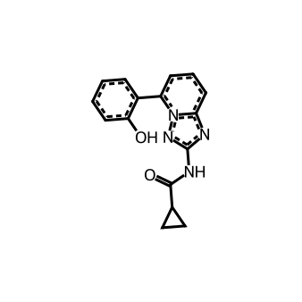 O=C(Nc1nc2cccc(-c3ccccc3O)n2n1)C1CC1